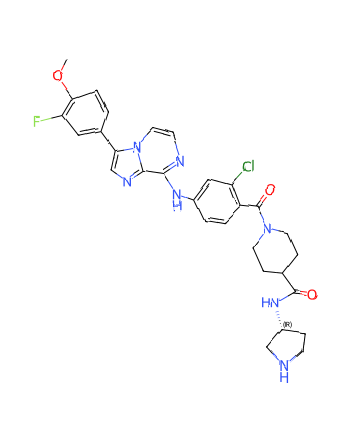 COc1ccc(-c2cnc3c(Nc4ccc(C(=O)N5CCC(C(=O)N[C@@H]6CCNC6)CC5)c(Cl)c4)nccn23)cc1F